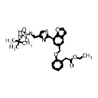 CCOC(=O)Cc1ccccc1OCc1cc(-c2nc(C=NS(=O)(=O)NC(C)(C)C)cs2)c2occc2c1